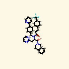 O=C(C(Cc1ncccn1)N(Cc1ccc(-c2ccccn2)cc1)C(=O)/C=C/c1ccc(C(F)(F)F)cc1)N1CCc2ccccc2C1